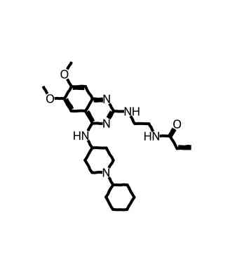 C=CC(=O)NCCNc1nc(NC2CCN(C3CCCCC3)CC2)c2cc(OC)c(OC)cc2n1